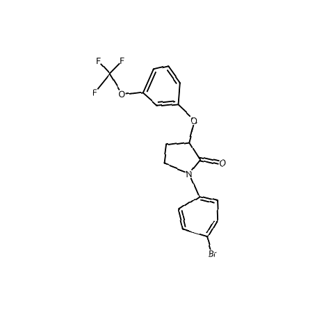 O=C1C(Oc2cccc(OC(F)(F)F)c2)CCN1c1ccc(Br)cc1